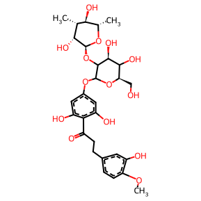 COc1ccc(CCC(=O)c2c(O)cc(OC3O[C@H](CO)C(O)[C@H](O)C3O[C@@H]3O[C@@H](C)[C@H](O)[C@@H](C)[C@H]3O)cc2O)cc1O